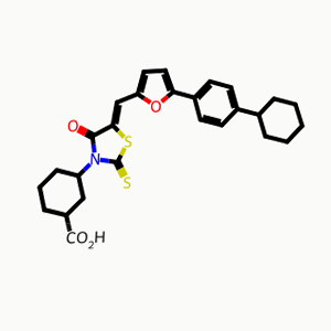 O=C(O)C1CCCC(N2C(=O)C(=Cc3ccc(-c4ccc(C5CCCCC5)cc4)o3)SC2=S)C1